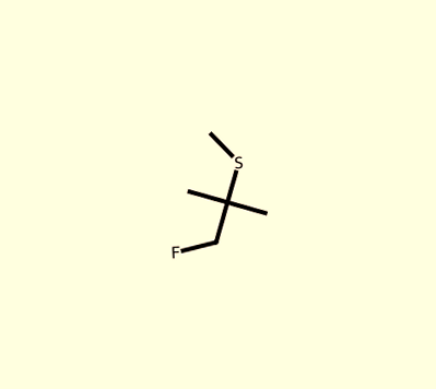 CSC(C)(C)CF